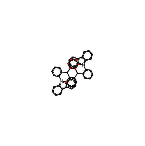 c1ccc(C23c4ccccc4C(c4ccccc4-n4c5ccccc5c5ccccc54)(c4ccccc42)c2ccccc23)c(-n2c3ccccc3c3ccccc32)c1